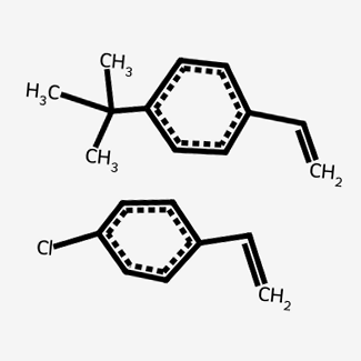 C=Cc1ccc(C(C)(C)C)cc1.C=Cc1ccc(Cl)cc1